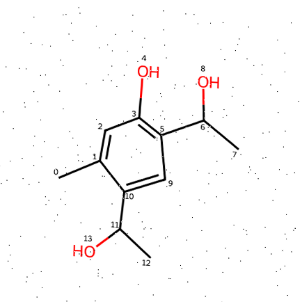 Cc1cc(O)c(C(C)O)cc1C(C)O